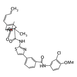 C=C/C=C\C1=CC2NC(=O)C1CC2(C)C(=O)Nc1nc(-c2cccc(C(=O)Nc3ccc(OC)c(Cl)c3)c2)cs1